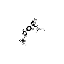 C[SiH](C)OCc1nc(C(C)(C)C)cn1-c1ccc(N2C[C@H](COS(C)(=O)=O)OC2=O)cc1F